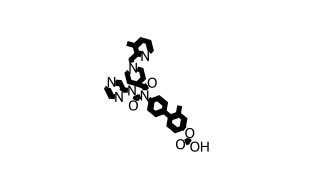 Cc1cc(OC(=O)O)ccc1-c1ccc(N2C(=O)N(c3cnccn3)C3(CCN(Cc4ncccc4C)CC3)C2=O)cc1